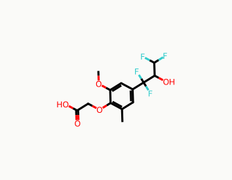 COc1cc(C(F)(F)C(O)C(F)F)cc(C)c1OCC(=O)O